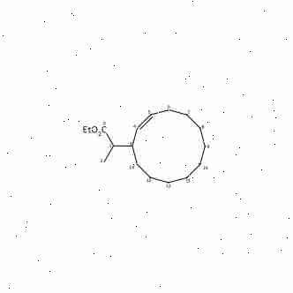 CCOC(=O)C(C)C1C=CCCCCCCCCC1